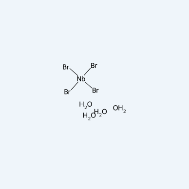 O.O.O.O.[Br][Nb]([Br])([Br])[Br]